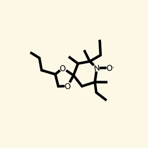 CCCC1COC2(CC(C)(CC)N([O])C(C)(CC)C2C)O1